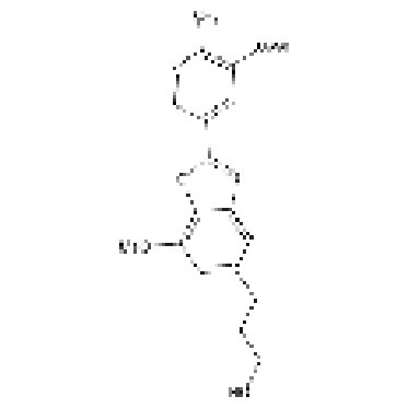 COc1cc(-c2cc3cc(CCCO)cc(OC)c3o2)ccc1C